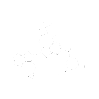 COc1cc(C(=O)N2C[C@H](N)C[C@@H](F)C2)cc2nc(-c3cc4cccnc4n3CC3CC3)n(CC3CC(C)(C)C3)c12